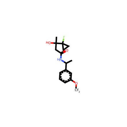 CC(NC(=O)CC(C)(O)C1(F)CC1)c1cccc(OC(F)(F)F)c1